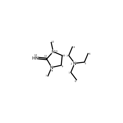 CCN(CC)CC.CN1CCN(C)C1=N